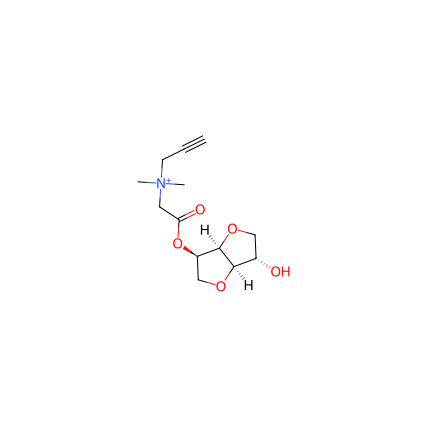 C#CC[N+](C)(C)CC(=O)O[C@@H]1CO[C@H]2[C@@H]1OC[C@@H]2O